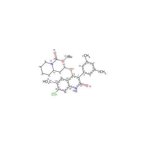 Cc1cc(C)cc(-c2c(OCCC3CCCCN3C(=O)OC(C)(C)C)c3cc(C(=O)O)c(Cl)cc3[nH]c2=O)c1